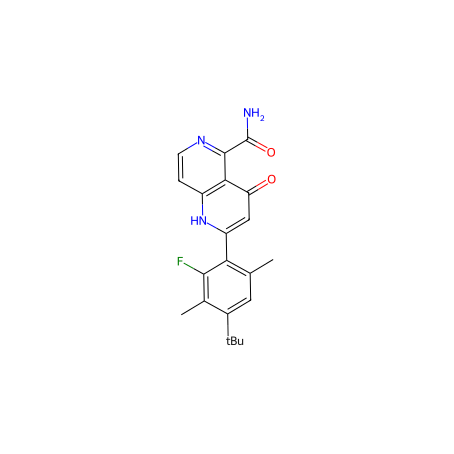 Cc1cc(C(C)(C)C)c(C)c(F)c1-c1cc(=O)c2c(C(N)=O)nccc2[nH]1